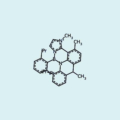 Cc1ccc2c3c1-c1n(cc[n+]1C)B(c1c(C(C)C)cccc1C(C)C)N3c1c(C(C)C)cccc1C2C